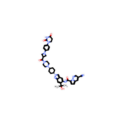 CC(C)(O)c1cc2nn([C@H]3CC[C@H](N4CCN(C(=O)C5CN(c6ccc(N7CCC(=O)NC7=O)cc6)C5)CC4)CC3)cc2cc1NC(=O)c1ccc2cc(C#N)cnn12